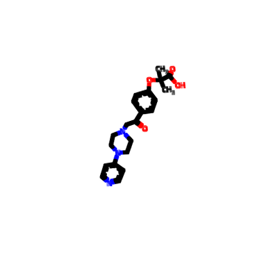 CC(C)(Oc1ccc(C(=O)CN2CCN(c3ccncc3)CC2)cc1)C(=O)O